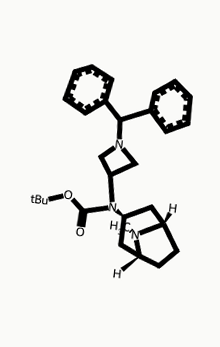 CN1[C@@H]2CC[C@H]1C[C@H](N(C(=O)OC(C)(C)C)C1CN(C(c3ccccc3)c3ccccc3)C1)C2